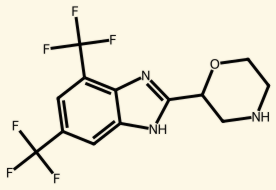 FC(F)(F)c1cc(C(F)(F)F)c2nc(C3CNCCO3)[nH]c2c1